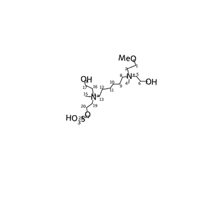 COCC[N+](C)(CCO)CCCCCC[N+](C)(CCO)CCOS(=O)(=O)O